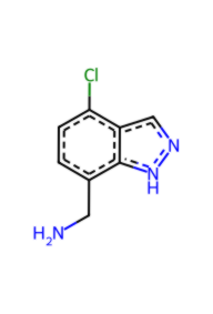 NCc1ccc(Cl)c2cn[nH]c12